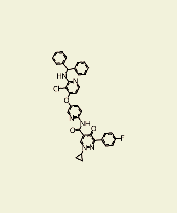 O=C(Nc1ccc(Oc2ccnc(NC(c3ccccc3)c3ccccc3)c2Cl)cn1)c1cn(C2CC2)nc(-c2ccc(F)cc2)c1=O